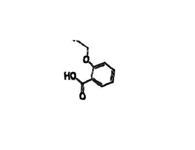 [CH2]COc1ccccc1C(=O)O